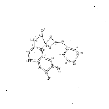 O=C1Nc2cnc3cc(F)c(Br)cc3c2C12CC(Cc1ccccc1)C2